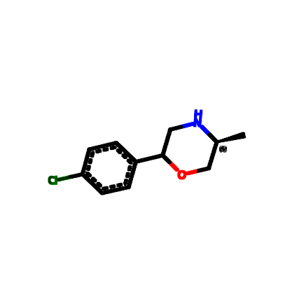 C[C@H]1COC(c2ccc(Cl)cc2)CN1